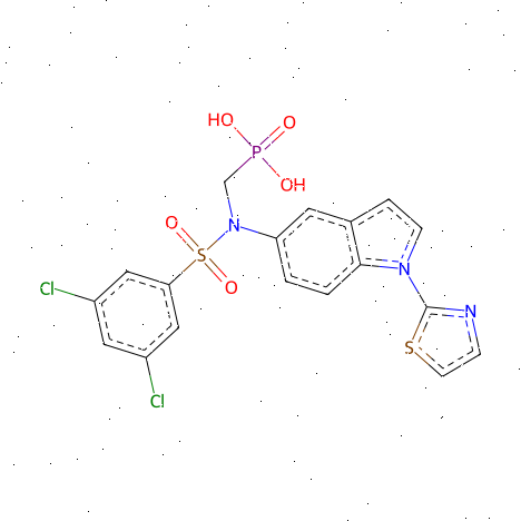 O=P(O)(O)CN(c1ccc2c(ccn2-c2nccs2)c1)S(=O)(=O)c1cc(Cl)cc(Cl)c1